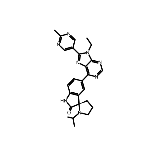 CCn1c(-c2cnc(C)nc2)nc2c(-c3ccc4c(c3)[C@@]3(CCCN3C(C)C)C(=O)N4)ncnc21